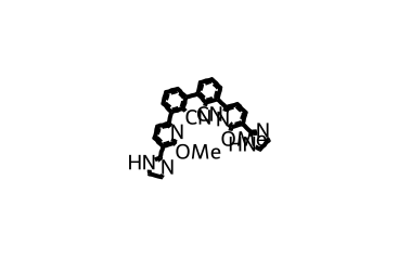 COc1nc(-c2cccc(-c3cccc(-c4ccc(C5=NCCN5)c(OC)n4)c3C#N)c2C#N)ccc1C1=NCCN1